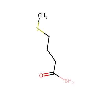 BC(=O)CCCSC